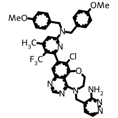 COc1ccc(CN(Cc2ccc(OC)cc2)c2cc(C)c(C(F)(F)F)c(-c3cc4ncnc5c4c(c3Cl)OCCN5Cc3ccnnc3N)n2)cc1